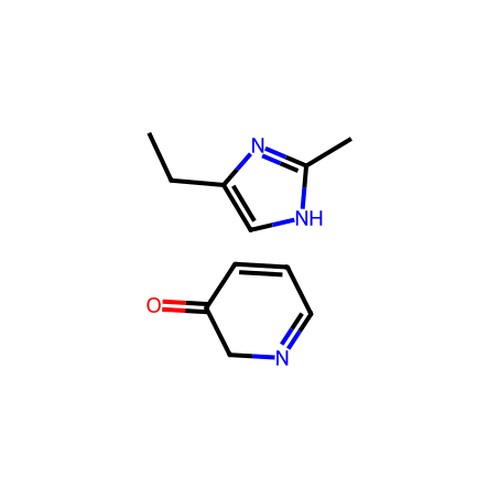 CCc1c[nH]c(C)n1.O=C1C=CC=NC1